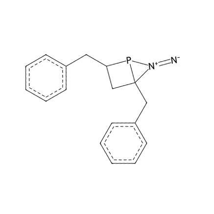 [N-]=[N+]1P2C(Cc3ccccc3)CC12Cc1ccccc1